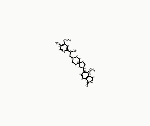 COc1cc(C(O)CN2CCC3(CC2)CCN(c2ccc4c(c2C)COC4=O)C3)ncc1C#N